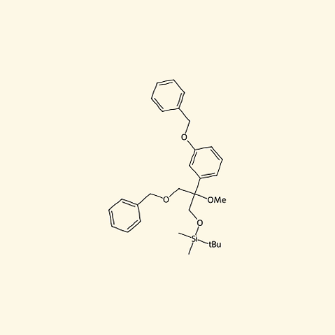 COC(COCc1ccccc1)(CO[Si](C)(C)C(C)(C)C)c1cccc(OCc2ccccc2)c1